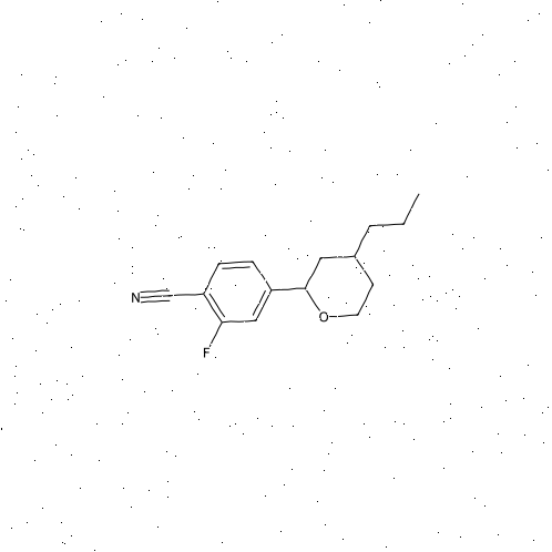 CCCC1CCOC(c2ccc(C#N)c(F)c2)C1